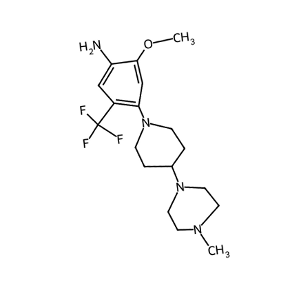 COc1cc(N2CCC(N3CCN(C)CC3)CC2)c(C(F)(F)F)cc1N